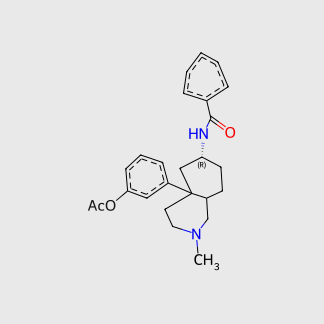 CC(=O)Oc1cccc(C23CCN(C)CC2CC[C@@H](NC(=O)c2ccccc2)C3)c1